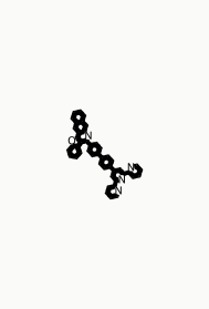 c1ccc(-c2cc(-c3ccc(-c4ccc(-c5nc6cc7ccccc7cc6c6oc7ccccc7c56)cc4)cc3)cc(-c3ccccn3)n2)nc1